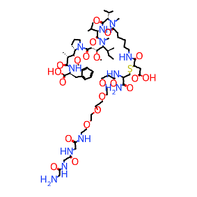 CC[C@H](C)[C@@H]([C@@H](CC(=O)N1CCC[C@H]1[C@H](OC)[C@@H](C)C(=O)N[C@@H](Cc1ccccc1)C(=O)O)OC)N(C)C(=O)[C@@H](NC(=O)[C@H](C(C)C)N(C)C(=O)CCCCCNC(=O)C(CC(=O)O)SCC(NC(=O)CCOCCOCCOCCOCCNC(=O)CNC(=O)CNC(=O)CN)C(N)=O)C(C)C